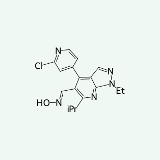 CCn1ncc2c(-c3ccnc(Cl)c3)c(/C=N/O)c(C(C)C)nc21